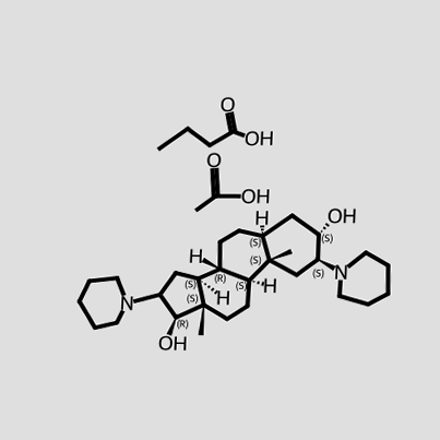 CC(=O)O.CCCC(=O)O.C[C@]12C[C@H](N3CCCCC3)[C@@H](O)C[C@@H]1CC[C@@H]1[C@@H]2CC[C@]2(C)[C@@H](O)C(N3CCCCC3)C[C@@H]12